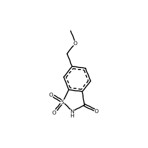 COCc1ccc2c(c1)S(=O)(=O)NC2=O